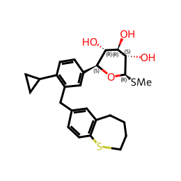 CS[C@H]1O[C@@H](c2ccc(C3CC3)c(Cc3ccc4c(c3)CCCCS4)c2)[C@H](O)[C@@H](O)[C@@H]1O